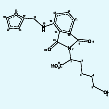 O=C(O)C(CCCCO)N1C(=O)c2cccc(NCc3ccco3)c2C1=O